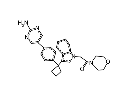 Nc1ncc(-c2ccc(C3(c4cn(CC(=O)N5CCOCC5)c5ccccc45)CCC3)cc2)cn1